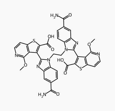 COc1nccc2sc(C(=O)O)c(-c3nc4cc(C(N)=O)ccc4n3CCn3c(-c4c(C(=O)O)sc5ccnc(OC)c45)nc4cc(C(N)=O)ccc43)c12